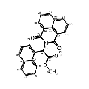 COC(=O)C(c1cccc2ccccc12)N1C(=O)c2cccc3cccc(c23)C1=O